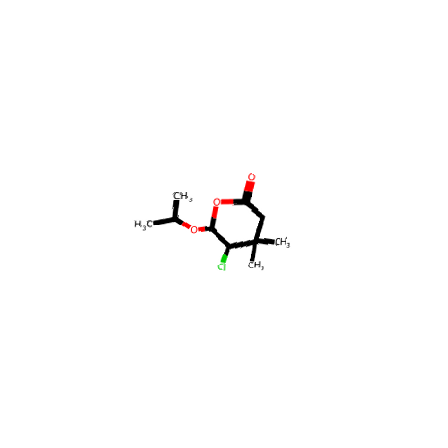 CC(C)OC1OC(=O)CC(C)(C)C1Cl